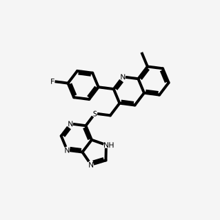 Cc1cccc2cc(CSc3ncnc4nc[nH]c34)c(-c3ccc(F)cc3)nc12